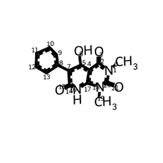 Cn1c(=O)c2c(O)c(-c3ccccc3)c(=O)[nH]c2n(C)c1=O